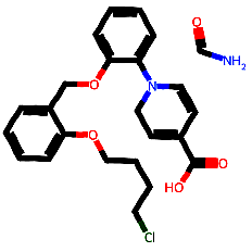 NC=O.O=C(O)C1=CCN(c2ccccc2OCc2ccccc2OCCCCCl)C=C1